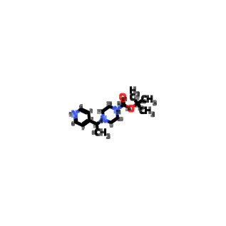 CC(c1ccncc1)N1CCN(C(=O)OC(C)(C)C)CC1